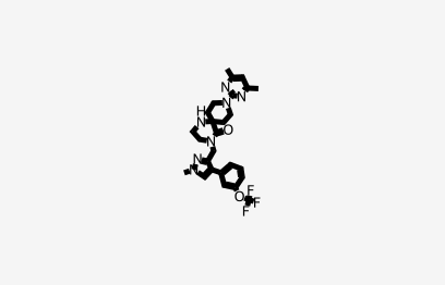 Cc1cc(C)nc(N2CCC3(CC2)NCCN(Cc2nn(C)cc2-c2cccc(OC(F)(F)F)c2)C3=O)n1